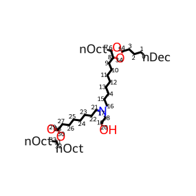 CCCCCCCCCCCCCC1OC(CCCCCCCC)C(CCCCCCCCN(CCO)CCCCCCCC(=O)OC(CCCCCCCC)CCCCCCCC)O1